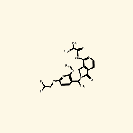 COc1nc(OCC(F)F)ccc1C(C)N1Cc2c(ccnc2NC(=O)C(C)C)C1=O